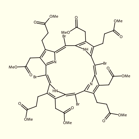 COC(=O)CCC1=C(CC(=O)OC)c2nc1c(Br)c1[nH]c(c(Br)c3nc(c(Br)c4[nH]c(c2Br)c(CCC(=O)OC)c4CC(=O)OC)C(CCC(=O)OC)=C3CC(=O)OC)c(CCC(=O)OC)c1CC(=O)OC